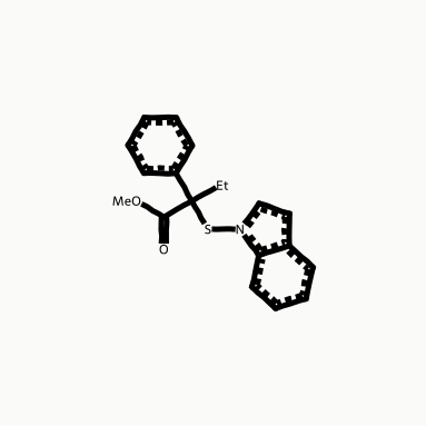 CCC(Sn1ccc2ccccc21)(C(=O)OC)c1ccccc1